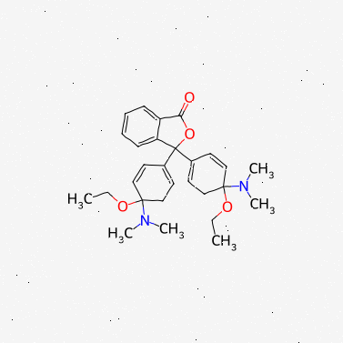 CCOC1(N(C)C)C=CC(C2(C3=CCC(OCC)(N(C)C)C=C3)OC(=O)c3ccccc32)=CC1